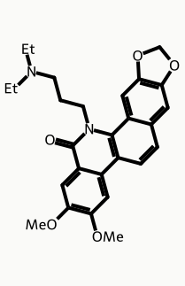 CCN(CC)CCCn1c(=O)c2cc(OC)c(OC)cc2c2ccc3cc4c(cc3c21)OCO4